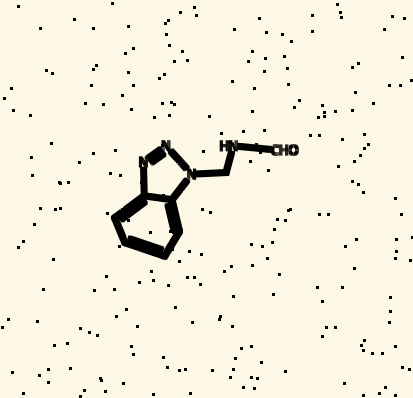 O=CNCn1nnc2ccccc21